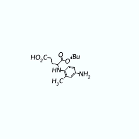 CCC(C)OC(=O)C(CCC(=O)O)Nc1ccc(N)cc1C